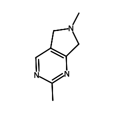 Cc1ncc2c(n1)CN(C)C2